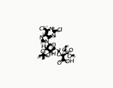 COP(=O)(OC)C(OC[C@H]1O[C@@H](n2cnc3c(Cl)nc(Cl)nc32)[C@@H]2OC(C)(C)O[C@@H]21)C(=O)O